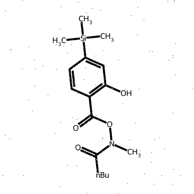 CCCCC(=O)N(C)OC(=O)c1ccc([Si](C)(C)C)cc1O